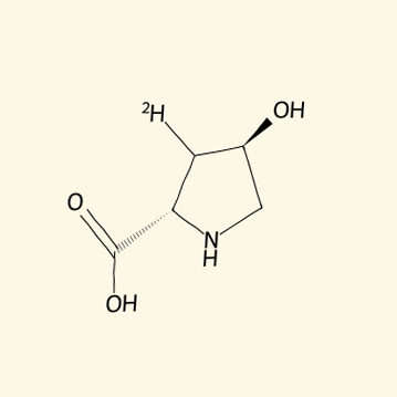 [2H]C1[C@@H](C(=O)O)NC[C@@H]1O